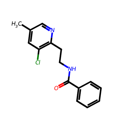 Cc1cnc(CCNC(=O)c2ccccc2)c(Cl)c1